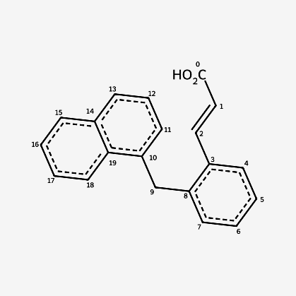 O=C(O)C=Cc1ccccc1Cc1cccc2ccccc12